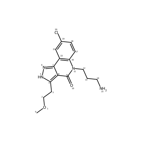 COCCc1[nH]nc2c1c(=O)n(CCCN)c1ccc(Cl)cc21